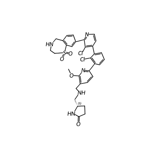 COc1nc(-c2cccc(-c3ccnc(-c4ccc5c(c4)S(=O)(=O)CCNC5)c3Cl)c2Cl)ccc1CNC[C@@H]1CCC(=O)N1